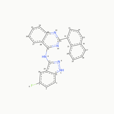 Fc1ccc2[nH]nc(Nc3nc(-c4cccc5ccccc45)nc4ccccc34)c2c1